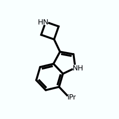 CC(C)c1cccc2c(C3CNC3)c[nH]c12